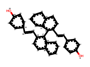 Oc1ccc(/C=C/c2ccc3ccccc3c2-c2c(/C=C/c3ccc(O)cc3)ccc3ccccc23)cc1